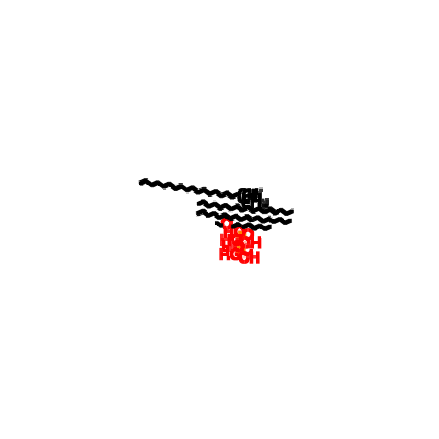 C.C.C.CCCCCCCCCCCCCCCCCC.CCCCCCCCCCCCCCCCCC.CCCCCCCCCCCCCCCCCC.CCCCCCCCOCC.O=P(O)(O)O.O=P(O)(O)O